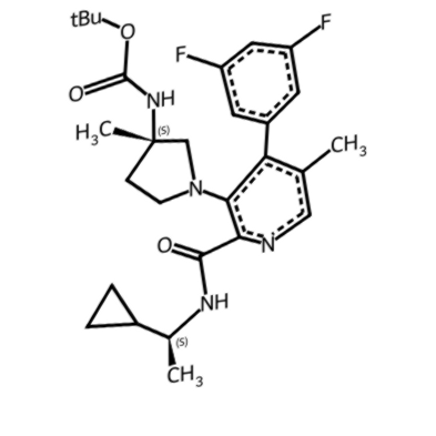 Cc1cnc(C(=O)N[C@@H](C)C2CC2)c(N2CC[C@](C)(NC(=O)OC(C)(C)C)C2)c1-c1cc(F)cc(F)c1